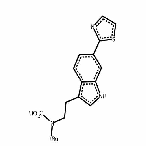 CC(C)(C)N(CCc1c[nH]c2cc(-c3nccs3)ccc12)C(=O)O